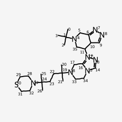 CC(C)(C)N1CC2=NN=CC2C([n+]2ncn3c2CN(C(C)(C)CCC(C)(C)N2CCSCC2)CC3)C1